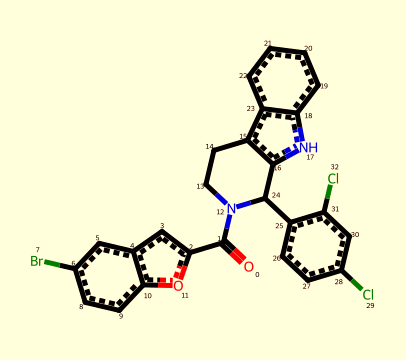 O=C(c1cc2cc(Br)ccc2o1)N1CCc2c([nH]c3ccccc23)C1c1ccc(Cl)cc1Cl